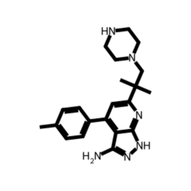 Cc1ccc(-c2cc(C(C)(C)CN3CCNCC3)nc3[nH]nc(N)c23)cc1